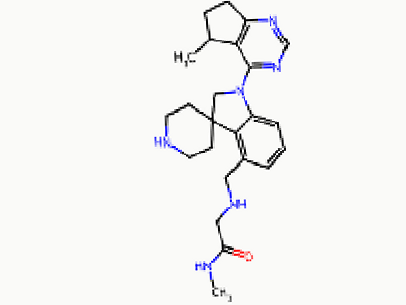 CNC(=O)CNCc1cccc2c1C1(CCNCC1)CN2c1ncnc2c1C(C)CC2